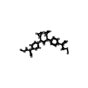 CCOC(=O)c1ccc(C(OC(c2ccc(C(=O)OCC)cc2)C2CO2)C2CO2)cc1